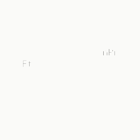 [CH2]CCCC(C)C(C)CC